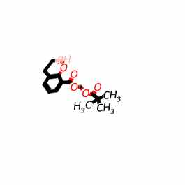 CC(C)(C)C(=O)OCOC(=O)c1cccc2c1OBCC2